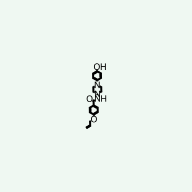 C=CCOc1ccc(C(=O)NN2CCN(c3ccc(O)cc3)CC2)cc1